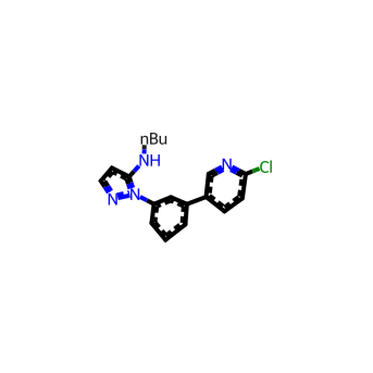 CCCCNc1ccnn1-c1cccc(-c2ccc(Cl)nc2)c1